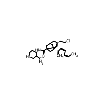 C=C(/C=C\C=C/C)[C@]12CC3CC(C(=O)NC4CCNCC4C)(C[C@](CCCl)(C3)C1)C2